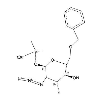 C[C@@H]1C(N=[N+]=[N-])[C@@H](O[Si](C)(C)C(C)(C)C)OC(COCc2ccccc2)[C@H]1O